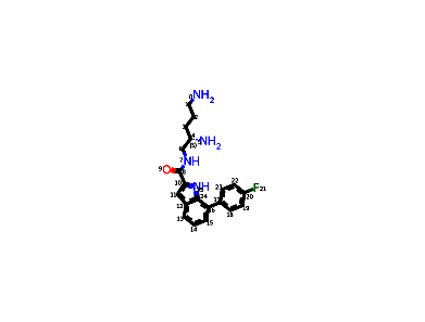 NCCC[C@H](N)CNC(=O)c1cc2cccc(-c3ccc(F)cc3)c2[nH]1